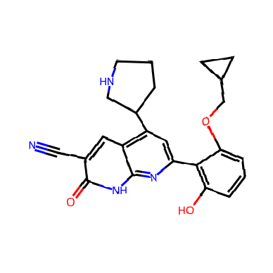 N#Cc1cc2c(C3CCCNC3)cc(-c3c(O)cccc3OCC3CC3)nc2[nH]c1=O